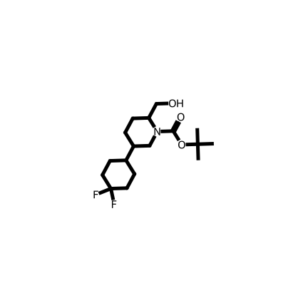 CC(C)(C)OC(=O)N1CC(C2CCC(F)(F)CC2)CCC1CO